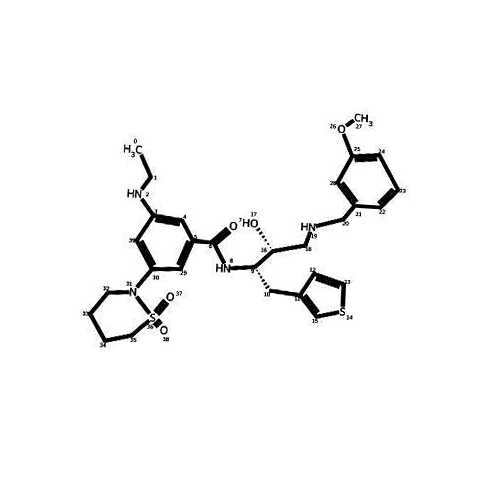 CCNc1cc(C(=O)N[C@@H](Cc2ccsc2)[C@H](O)CNCc2cccc(OC)c2)cc(N2CCCCS2(=O)=O)c1